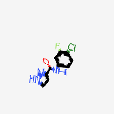 O=C(Nc1ccc(Cl)c(F)c1)c1cc[nH]n1